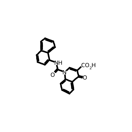 O=C(O)c1cn(C(=O)Nc2cccc3ccccc23)c2ccccc2c1=O